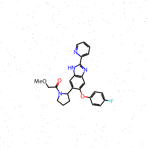 COCC(=O)N1CCCC1c1cc2[nH]c(-c3ccccn3)nc2cc1Oc1ccc(F)cc1